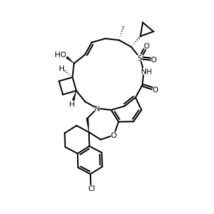 C[C@H]1C/C=C/[C@H](O)[C@@H]2CC[C@H]2CN2C[C@@]3(CCCc4cc(Cl)ccc43)COc3ccc(cc32)C(=O)NS(=O)(=O)[C@H]1C1CC1